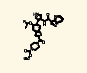 CC(C)(C)OC(=O)N1CCN(C(=O)c2cc3cc(OC(F)F)c(-c4n[nH]cc4NC(=O)c4cnn5cccnc45)cc3s2)CC1